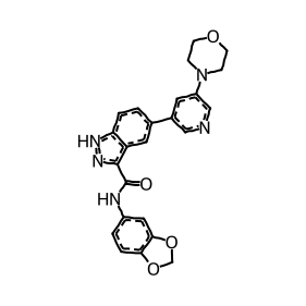 O=C(Nc1ccc2c(c1)OCO2)c1n[nH]c2ccc(-c3cncc(N4CCOCC4)c3)cc12